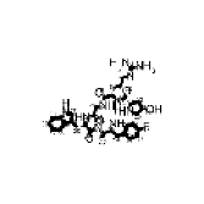 NC(N)=NCCC[C@H](NC(=O)[C@@H]1C[C@@H](O)CN1)C(=O)NCC(=O)N[C@@H](Cc1c[nH]c2ccccc12)C(=O)NC(=O)[C@@H](N)Cc1ccc(F)cc1